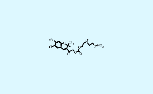 CN(CCOC(=O)OOC(=O)C1=Cc2cc(Cl)c(C(C)(C)C)cc2OC1(C)C(F)(F)F)CCO[N+](=O)[O-]